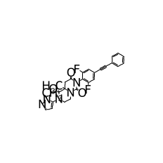 Cn1nccc1N1CCN2C(=O)N(c3c(F)cc(C#Cc4ccccc4)cc3F)C(=O)C[C@@]2(C)C1=O